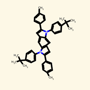 Cc1ccc(-c2cc3cc4c(cc(-c5ccc(C)cc5)n4-c4ccc(C(C)(C)C)cc4)cc3n2-c2ccc(C(C)(C)C)cc2)cc1